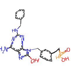 Nc1nc(NCc2ccccc2)nc2c1nc(O)n2Cc1cccc(C[PH](=O)O)c1